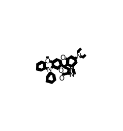 CCN(CC)c1ccc2c(c1)Oc1cc(OC)c(N(c3ccccc3)c3ccccc3)cc1C21OC(=O)c2nccnc21